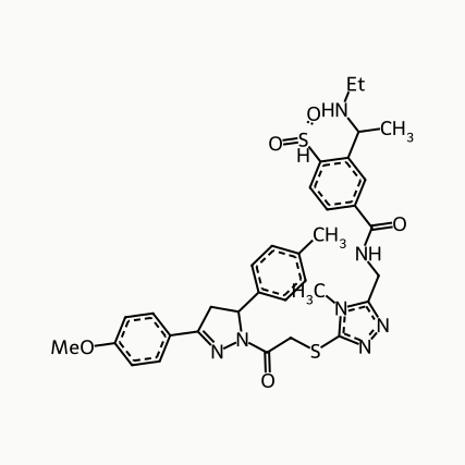 CCNC(C)c1cc(C(=O)NCc2nnc(SCC(=O)N3N=C(c4ccc(OC)cc4)CC3c3ccc(C)cc3)n2C)ccc1[SH](=O)=O